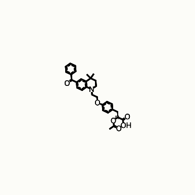 CC(=O)O[C@@H](Cc1ccc(OCCN2CCC(C)(C)c3cc(C(=O)c4ccccc4)ccc32)cc1)C(=O)O